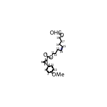 COc1ccc(N2C[C@H]2C(=O)OCCC/C=C\CCCOC=O)cc1